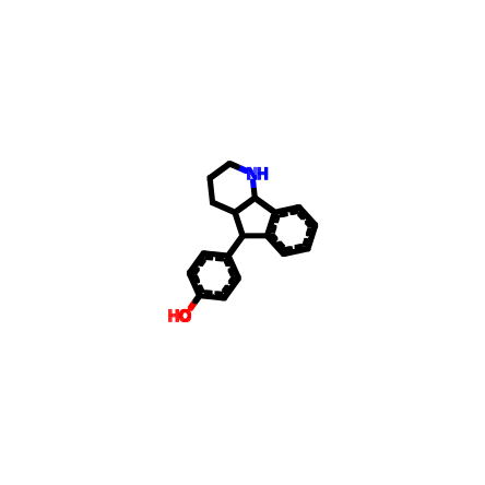 Oc1ccc(C2c3ccccc3C3NCCCC32)cc1